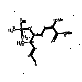 COC(=O)/C(=C\C[C@H](O[Si](C)(C)C(C)(C)C)[C@@H](C)/C=C/I)OC